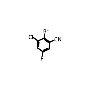 N#Cc1cc(F)cc(Cl)c1Br